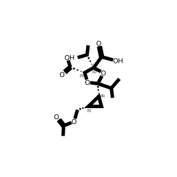 CC(=O)OC[C@H]1C[C@H]1C1(C(C)C)O[C@H](C(=O)O)[C@](C(=O)O)(C(C)C)O1